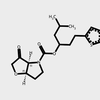 CC(C)CC(CCc1cccs1)OC(=O)N1CC[C@H]2OCC(=O)[C@H]21